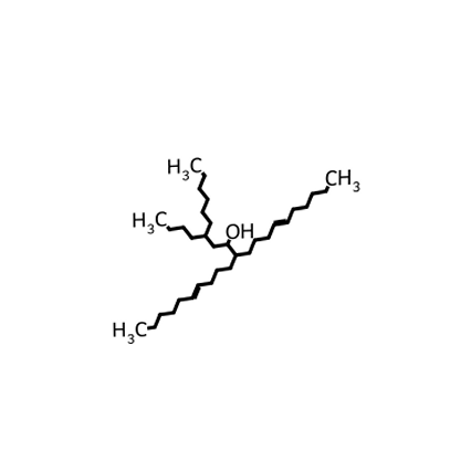 CCCCCC=CCCCC(CCCC=CCCCCC)C(O)CC(CCCC)CCCCCC